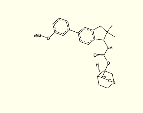 CCCCOc1cccc(-c2ccc3c(c2)CC(C)(C)C3NC(=O)O[C@H]2CN3CCC2CC3)c1